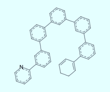 C1=CC(c2cccc(-c3cccc(-c4cccc(-c5cccc(-c6cccc(-c7ccccn7)c6)c5)c4)c3)c2)=CCC1